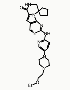 CCOCCN1CCN(c2ccc(Nc3ncc4cc5n(c4n3)C3(CCCC3)CNC5=O)nc2)CC1